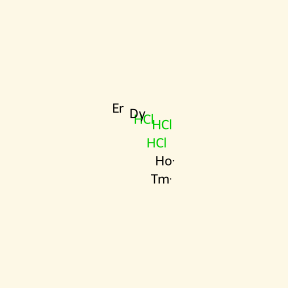 Cl.Cl.Cl.[Dy].[Er].[Ho].[Tm]